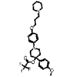 COc1ccc(C2(OC(=O)C(F)(F)F)CCN(c3ccc(OCCCN4CCCCC4)cc3)CC2)cc1